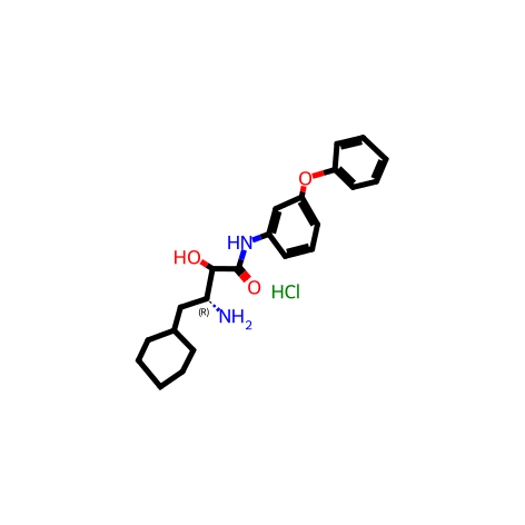 Cl.N[C@H](CC1CCCCC1)C(O)C(=O)Nc1cccc(Oc2ccccc2)c1